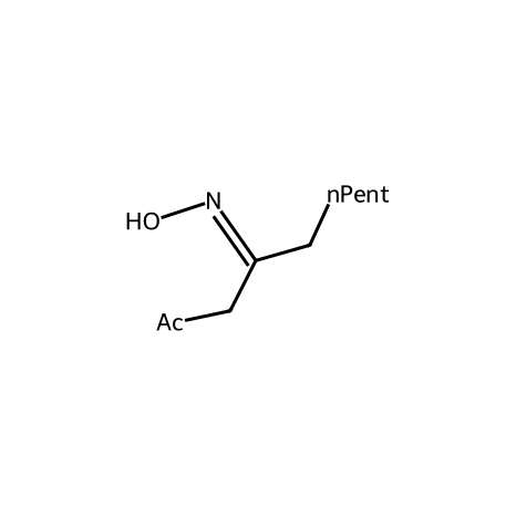 CCCCCCC(CC(C)=O)=NO